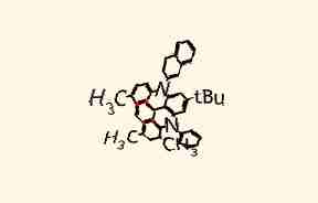 CC1=CC=C(N(c2ccccc2)c2cc(C(C)(C)C)cc(N(c3ccc(C)cc3)c3ccc4ccccc4c3)c2-c2ccccc2)C(C)C1